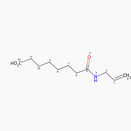 C=CCNC(=O)CCCCCCC(=O)O